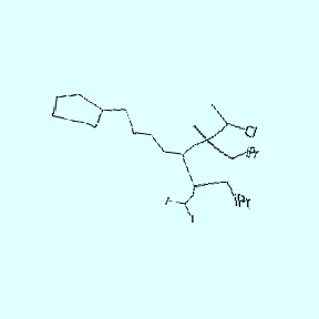 CC(C)CC(C(I)I)C(CCCCC1CCCC1)C(C)(CC(C)C)C(C)Cl